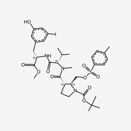 COC(=O)[C@H](Cc1cc(O)cc(I)c1)NC(=O)[C@H](C(C)C)N(C)C(=O)[C@H]1CCN(C(=O)OC(C)(C)C)[C@@H]1COS(=O)(=O)c1ccc(C)cc1